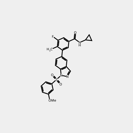 COc1cccc(S(=O)(=O)n2ncc3cc(-c4cc(C(=O)NC5CC5)cc(F)c4C)ccc32)c1